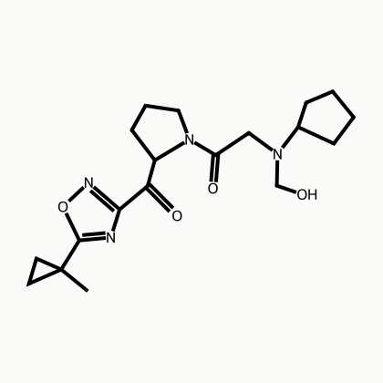 CC1(c2nc(C(=O)C3CCCN3C(=O)CN(CO)C3CCCC3)no2)CC1